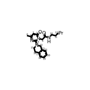 Cc1cc(=O)n(CC(=O)NCCC(C)C)c(N2CCc3ccccc3C2)n1